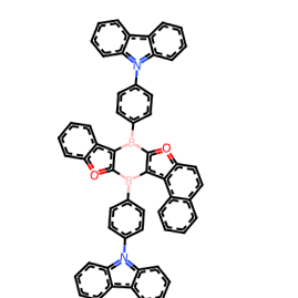 c1ccc2c(c1)ccc1oc3c(c12)B(c1ccc(-n2c4ccccc4c4ccccc42)cc1)c1oc2ccccc2c1B3c1ccc(-n2c3ccccc3c3ccccc32)cc1